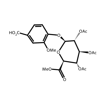 COC(=O)[C@H]1O[C@@H](Oc2ccc(C(=O)O)cc2OC)[C@H](OC(C)=O)[C@@H](OC(C)=O)[C@@H]1OC(C)=O